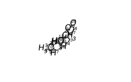 CC12CC[CH]C[C@@H]1CC[C@@H]1[C@@H]2CC[C@]2(C)[C@@H](c3ccc(=O)oc3)CC[C@]12O